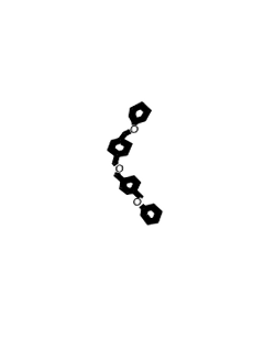 c1ccc(OCc2ccc(COCc3ccc(COc4ccccc4)cc3)cc2)cc1